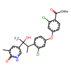 COC(=O)c1ccc(Oc2ccc(C(C)C(O)(c3c[nH]c(=O)c(C)c3)C(F)(F)F)c(Cl)c2)cc1Cl